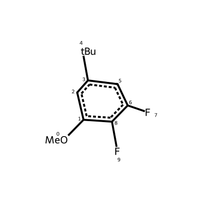 COc1cc(C(C)(C)C)cc(F)c1F